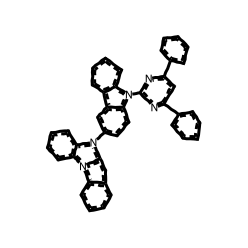 c1ccc(-c2cc(-c3ccccc3)nc(-n3c4ccccc4c4cc(-n5c6ccccc6n6c7ccccc7cc56)ccc43)n2)cc1